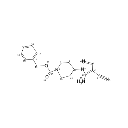 N#Cc1cnn(C2CCN(C(=O)OCc3ccccc3)CC2)c1N